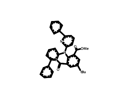 COC(=O)c1cc(C(C)(C)C)cc(C(=O)OC)c1N(c1cccc(-c2ccccc2)n1)c1cccc(-c2ccccc2)n1